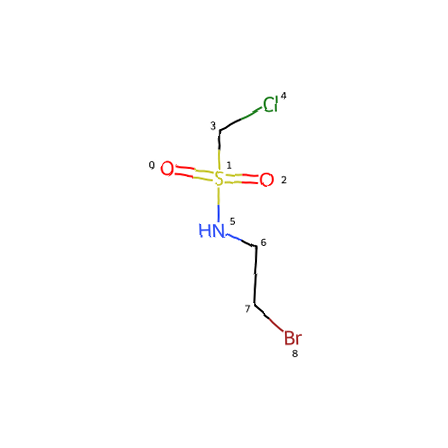 O=S(=O)(CCl)NCCBr